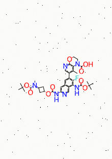 Cc1c(-c2cc3cc(NC(=O)O[C@H]4C[C@H](N(C)C(=O)OC(C)(C)C)C4)ncc3c(NC(=O)OC(C)(C)C)c2F)cnc2c1N(C(=O)O)CCO2